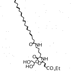 C=CCC=CCC=CCC=CCC=CCC=CCCC(=O)NCCCCC(NC(=O)C=CC(=O)OCC)C(=O)OC(CO)CO